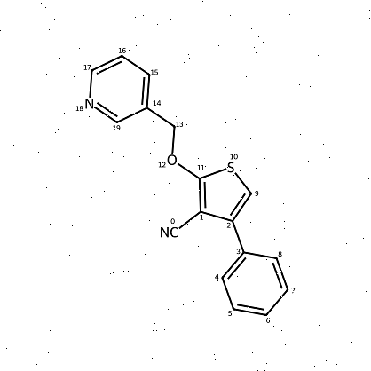 N#Cc1c(-c2ccccc2)csc1OCc1cccnc1